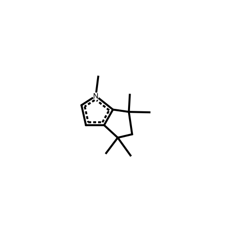 Cn1ccc2c1C(C)(C)CC2(C)C